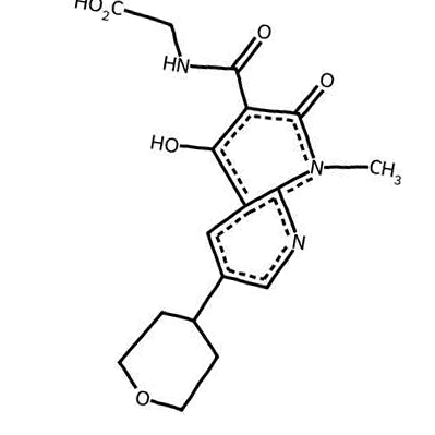 Cn1c(=O)c(C(=O)NCC(=O)O)c(O)c2cc(C3CCOCC3)cnc21